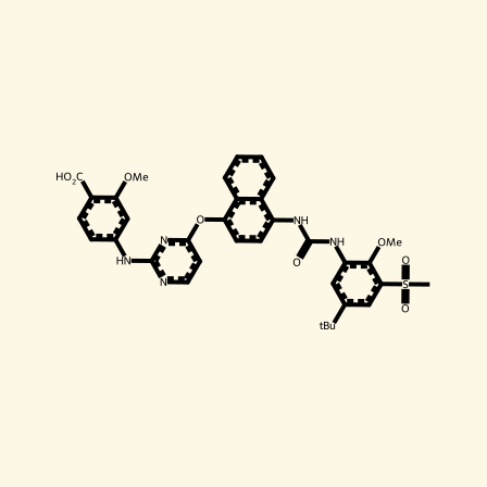 COc1cc(Nc2nccc(Oc3ccc(NC(=O)Nc4cc(C(C)(C)C)cc(S(C)(=O)=O)c4OC)c4ccccc34)n2)ccc1C(=O)O